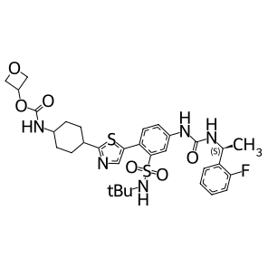 C[C@H](NC(=O)Nc1ccc(-c2cnc(C3CCC(NC(=O)OC4COC4)CC3)s2)c(S(=O)(=O)NC(C)(C)C)c1)c1ccccc1F